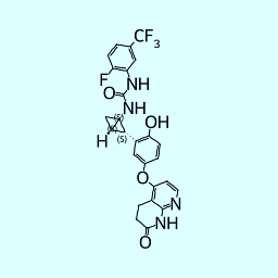 O=C1CCc2c(Oc3ccc(O)c([C@@H]4[C@@H]5C[C@@]45NC(=O)Nc4cc(C(F)(F)F)ccc4F)c3)ccnc2N1